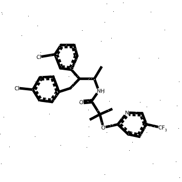 CC(NC(=O)C(C)(C)Oc1ccc(C(F)(F)F)cn1)C(Cc1ccc(Cl)cc1)c1cccc(Cl)c1